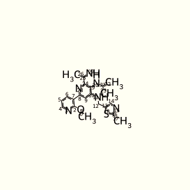 COc1ncccc1-c1cc(NCc2cnc(C)s2)c(NC(C)C)c(C(C)=N)n1